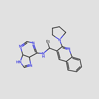 CCC(NC1=NC=NC2NC=NC12)c1cc2ccccc2nc1N1CCCC1